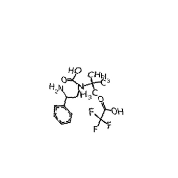 CC(C)(C)N(CC(N)c1ccccc1)C(=O)O.O=C(O)C(F)(F)F